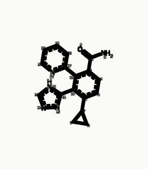 NC(=O)c1ccc(C2CC2)c(-c2nnc[nH]2)c1-c1ccccn1